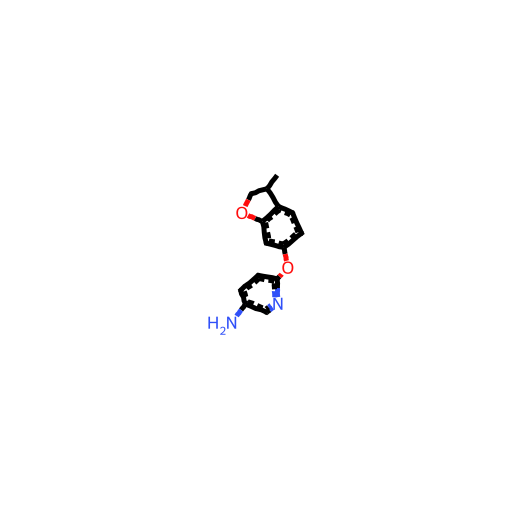 CC1COc2cc(Oc3ccc(N)cn3)ccc21